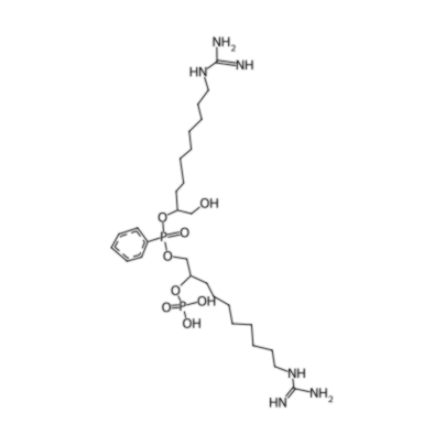 N=C(N)NCCCCCCCCC(COP(=O)(OC(CO)CCCCCCCCNC(=N)N)c1ccccc1)OP(=O)(O)O